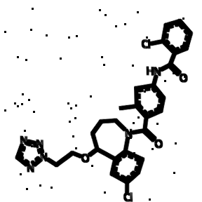 Cc1cc(NC(=O)c2ccccc2Cl)ccc1C(=O)N1CCCC(OCCn2ncnn2)c2cc(Cl)ccc21